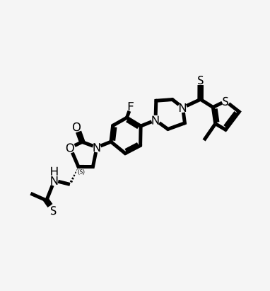 CC(=S)NC[C@H]1CN(c2ccc(N3CCN(C(=S)c4sccc4C)CC3)c(F)c2)C(=O)O1